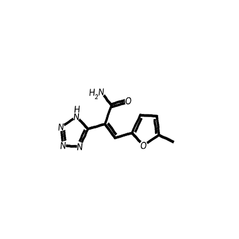 Cc1ccc(C=C(C(N)=O)c2nnn[nH]2)o1